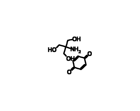 NC(CO)(CO)CO.O=C1C=CC(=O)C=C1